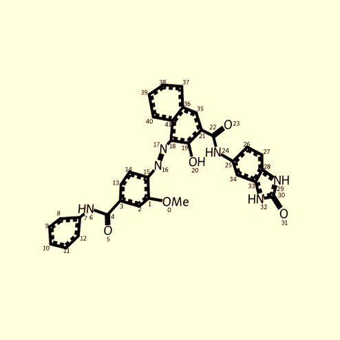 COc1cc(C(=O)Nc2ccccc2)ccc1/N=N/c1c(O)c(C(=O)Nc2ccc3[nH]c(=O)[nH]c3c2)cc2ccccc12